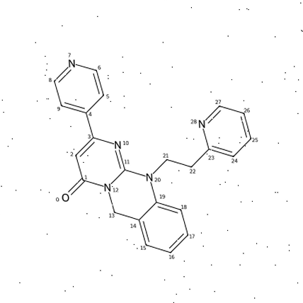 O=c1cc(-c2ccncc2)nc2n1Cc1ccccc1N2CCc1ccccn1